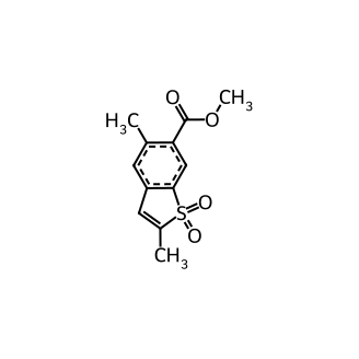 COC(=O)c1cc2c(cc1C)C=C(C)S2(=O)=O